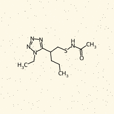 CCCC(CSNC(C)=O)c1nnnn1CC